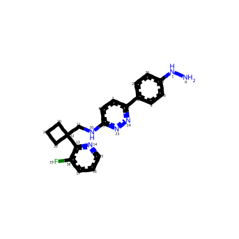 NNc1ccc(-c2ccc(NCC3(c4ncccc4F)CCC3)nn2)cc1